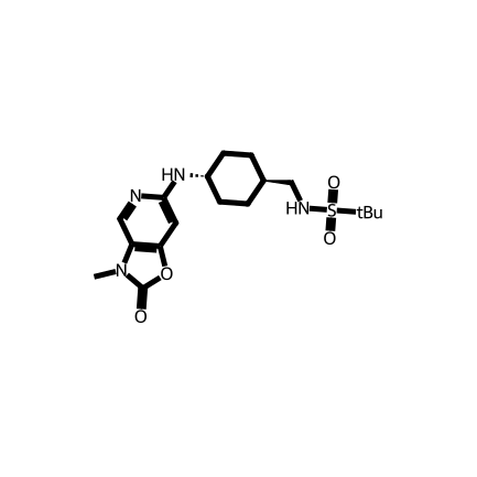 Cn1c(=O)oc2cc(N[C@H]3CC[C@H](CNS(=O)(=O)C(C)(C)C)CC3)ncc21